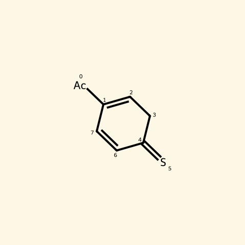 CC(=O)C1=CCC(=S)C=C1